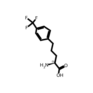 N[C@@H](CCCc1ccc(C(F)(F)F)cc1)C(=O)O